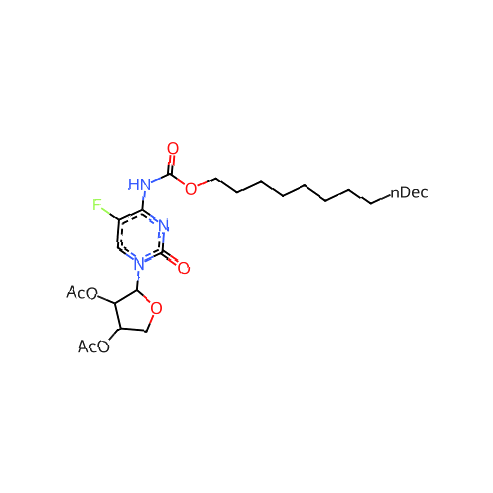 CCCCCCCCCCCCCCCCCCOC(=O)Nc1nc(=O)n(C2OCC(OC(C)=O)C2OC(C)=O)cc1F